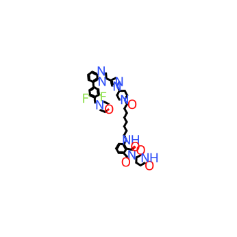 O=C1CCC(N2C(=O)c3cccc(NCCCCCCCC(=O)N4CCC(n5cc(-c6cnc7cccc(-c8cc(F)c(CN9CCOCC9)c(F)c8)c7n6)cn5)CC4)c3C2=O)C(=O)N1